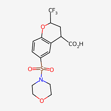 O=C(O)C1CC(C(F)(F)F)Oc2ccc(S(=O)(=O)N3CCOCC3)cc21